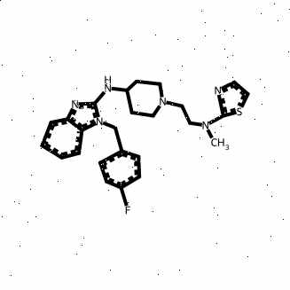 CN(CCN1CCC(Nc2nc3ccccc3n2Cc2ccc(F)cc2)CC1)c1nccs1